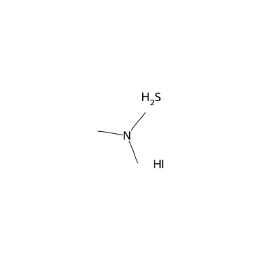 CN(C)C.I.S